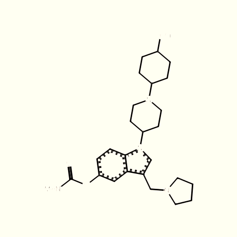 CNC(=O)Oc1ccc2c(c1)c(CN1CCCC1)cn2C1CCN(C2CCC(C(C)(C)C)CC2)CC1